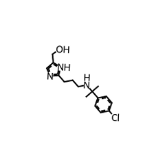 CC(C)(NCCCc1ncc(CO)[nH]1)c1ccc(Cl)cc1